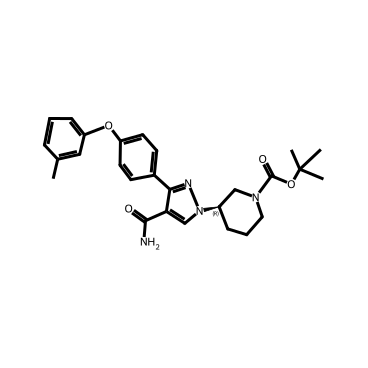 Cc1cccc(Oc2ccc(-c3nn([C@@H]4CCCN(C(=O)OC(C)(C)C)C4)cc3C(N)=O)cc2)c1